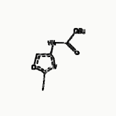 Cc1nc(NC(=O)OCC(C)C)co1